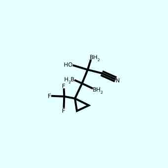 BC(O)(C#N)C(B)(B)C1(C(F)(F)F)CC1